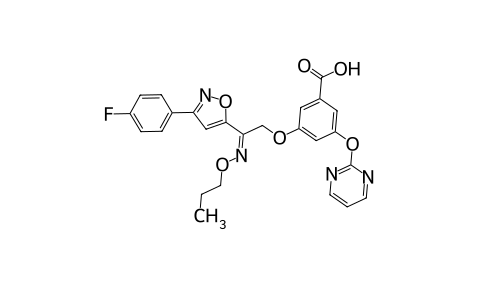 CCCON=C(COc1cc(Oc2ncccn2)cc(C(=O)O)c1)c1cc(-c2ccc(F)cc2)no1